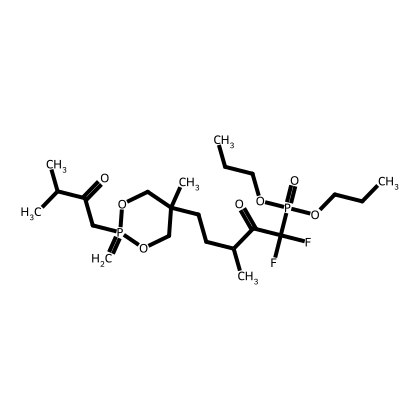 C=P1(CC(=O)C(C)C)OCC(C)(CCC(C)C(=O)C(F)(F)P(=O)(OCCC)OCCC)CO1